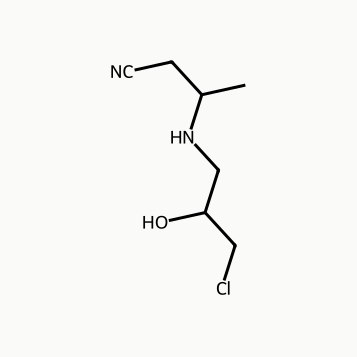 CC(CC#N)NCC(O)CCl